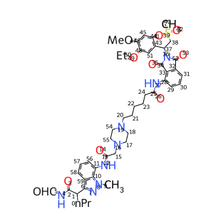 CCCC(C(=O)NC=O)c1nn(C)c2c(NC(=O)CN3CCN(CCCCCC(=O)Nc4cccc5c4C(=O)N(C(CS(C)(=O)=O)c4ccc(OC)c(OCC)c4)C5=O)CC3)cccc12